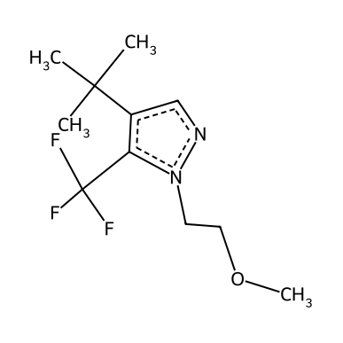 COCCn1ncc(C(C)(C)C)c1C(F)(F)F